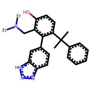 CCN(CC)Cc1c(O)ccc(C(C)(C)c2ccccc2)c1-c1ccc2nn[nH]c2c1